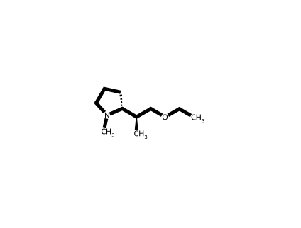 CCOC[C@@H](C)[C@H]1CCCN1C